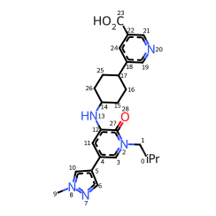 CC(C)Cn1cc(-c2cnn(C)c2)cc(NC2CCC(c3cncc(C(=O)O)c3)CC2)c1=O